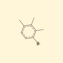 [B]c1ccc(C)c(C)c1C